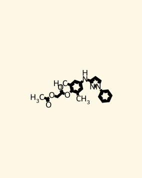 CC(=O)OCC(=O)Oc1c(C)cc(Nc2ccn(-c3ccccc3)n2)cc1C